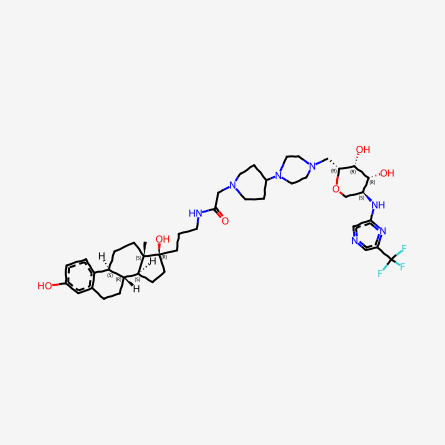 C[C@]12CC[C@@H]3c4ccc(O)cc4CC[C@H]3[C@@H]1CC[C@@]2(O)CCCNC(=O)CN1CCC(N2CCN(C[C@H]3OC[C@H](Nc4cncc(C(F)(F)F)n4)[C@@H](O)[C@H]3O)CC2)CC1